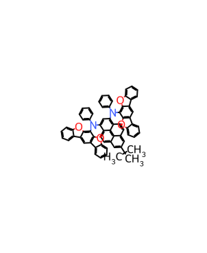 CC(C)(C)c1cc2ccc3c(N(c4ccccc4)c4c5oc6ccccc6c5cc5c4oc4ccccc45)cc(N(c4ccccc4)c4c5oc6ccccc6c5cc5c4oc4ccccc45)c4ccc(c1)c2c34